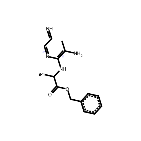 C/C(N)=C(\N=C/C=N)NC(C(=O)OCc1ccccc1)C(C)C